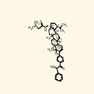 C=C(C)[C@@H]1CC[C@]2(CNC(=O)CN(C)C)CC[C@]3(C)[C@H](CC[C@@H]4[C@@]5(C)CC=C(c6ccc(C(=O)C(O)c7ccccc7)cc6)C(C)(C)[C@@H]5CC[C@]43C)[C@@H]12